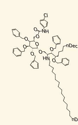 CCCCCCCCCCCCCCCCCCCCCCCCCCN[C@@H](CO[C@H]1O[C@H](COC(=O)Nc2ccc(Cl)cc2)[C@H](OCc2ccccc2)[C@H](OCc2ccccc2)[C@H]1OCc1ccccc1)[C@H](OCc1ccccc1)[C@@H](CCCCCCCCCCCCCC)OCc1ccccc1